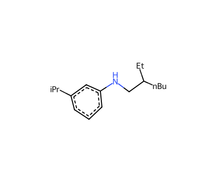 CCCCC(CC)CNc1cccc(C(C)C)c1